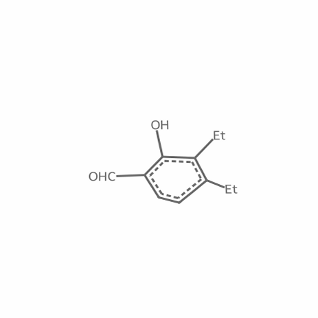 CCc1ccc(C=O)c(O)c1CC